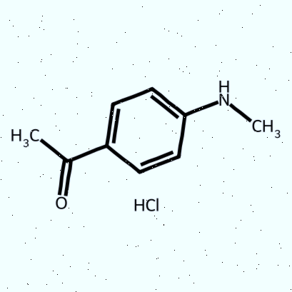 CNc1ccc(C(C)=O)cc1.Cl